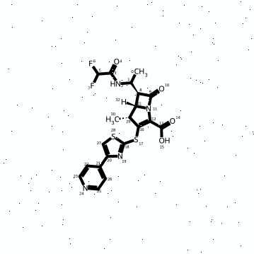 CC(NC(=O)C(F)F)[C@H]1C(=O)N2C(C(=O)O)=C(Sc3nc(-c4ccncc4)cs3)[C@H](C)[C@H]12